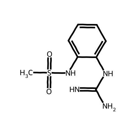 CS(=O)(=O)Nc1ccccc1NC(=N)N